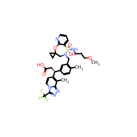 COCCCNS1(=O)(O)c2cccnc2OC2(CC2)CN1Cc1cc([C@H](CC(=O)O)c2ccn3c(C(F)(F)F)nnc3c2C)ccc1C